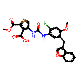 COC(=O)c1scc(NC(=O)Nc2cc(Cc3coc4ccccc34)c(OC)cc2F)c1C(=O)O